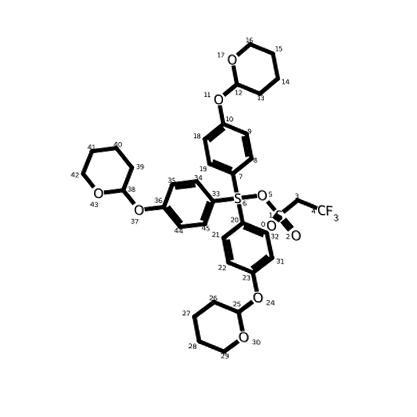 O=S(=O)(CC(F)(F)F)OS(c1ccc(OC2CCCCO2)cc1)(c1ccc(OC2CCCCO2)cc1)c1ccc(OC2CCCCO2)cc1